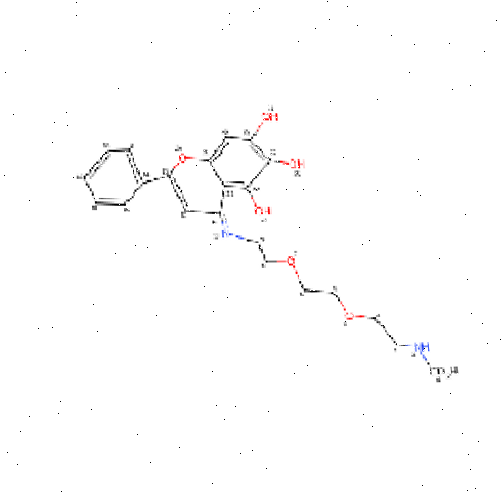 O=C(O)NCCOCCOCC/N=c1/cc(-c2ccccc2)oc2cc(O)c(O)c(O)c12